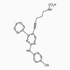 N#Cc1ccc(Nc2ncc(C#CCCCNC(=O)O)c(-c3ccccc3)n2)cc1